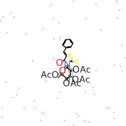 CC(=O)OC[C@H]1O[C@@H](N2C(=O)C(=Cc3ccccc3)SC2=S)[C@H](OC(C)=O)[C@@H](OC(C)=O)[C@@H]1OC(C)=O